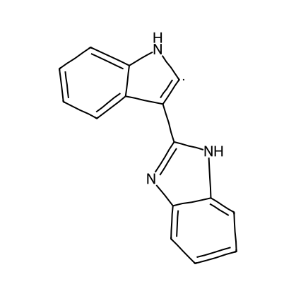 [c]1[nH]c2ccccc2c1-c1nc2ccccc2[nH]1